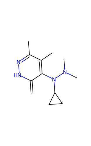 C=C1NN=C(C)C(C)=C1N(C1CC1)N(C)C